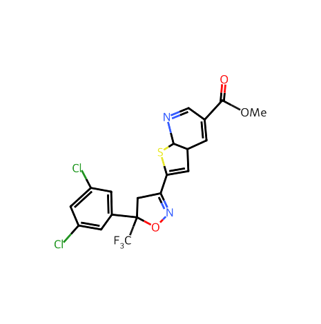 COC(=O)C1=CC2C=C(C3=NOC(c4cc(Cl)cc(Cl)c4)(C(F)(F)F)C3)SC2N=C1